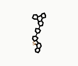 c1ccc2c(c1)ccc1c3cc(-c4ccc(-c5ccc6c7ccccc7c7ccccc7c6c5)cc4)ccc3sc21